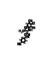 CCc1c(NC(c2nnc(-c3ccc(C#N)cc3)o2)C(C)O)ccc(C#N)c1Cl